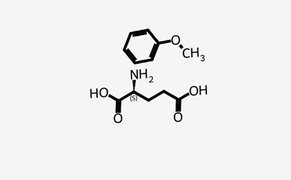 COc1ccccc1.N[C@@H](CCC(=O)O)C(=O)O